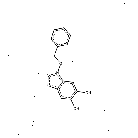 Oc1cc2cnn(OCc3ccccc3)c2cc1O